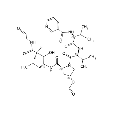 CCC[C@H](NC(=O)[C@@H]1C[C@@H](OC=O)CN1C(=O)[C@@H](NC(=O)[C@@H](NC(=O)c1cnccn1)C(C)C)C(C)C)C(O)C(F)(F)C(=O)NCC=O